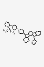 CC1(C)c2ccccc2-c2ccc(-c3ccc(-n4c5ccccc5c5c4ccc4c6ccccc6n(-c6ccccc6)c45)cc3)cc21